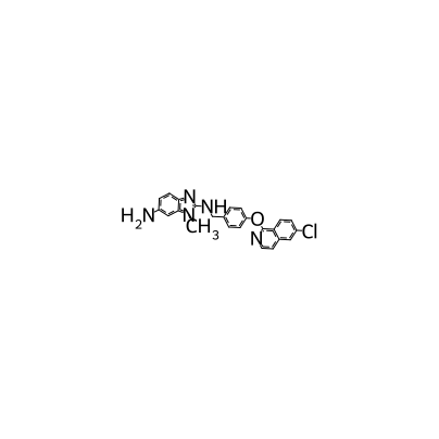 Cn1c(NCc2ccc(Oc3nccc4cc(Cl)ccc34)cc2)nc2ccc(N)cc21